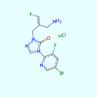 Cl.NC/C(=C/F)Cn1ncn(-c2ncc(Br)cc2F)c1=O